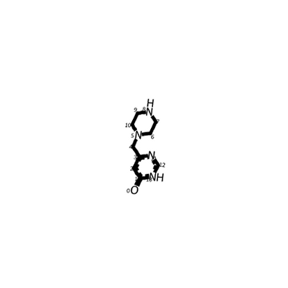 O=c1cc(CN2CCNCC2)nc[nH]1